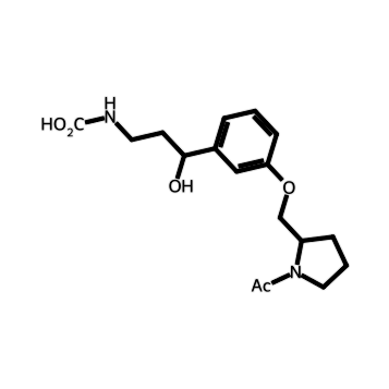 CC(=O)N1CCCC1COc1cccc(C(O)CCNC(=O)O)c1